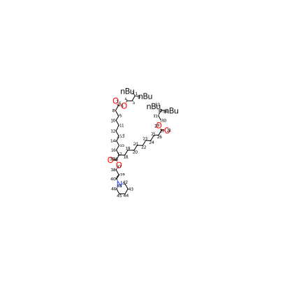 CCCCC(CCCC)CCOC(=O)CCCCCCCCCC(CCCCCCCCCC(=O)OCCC(CCCC)CCCC)C(=O)OCCCN1CCCCC1